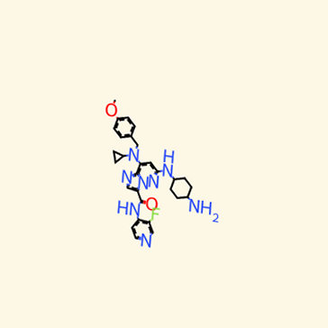 COc1ccc(CN(c2cc(NC3CCC(N)CC3)nn3c(C(=O)Nc4ccncc4F)cnc23)C2CC2)cc1